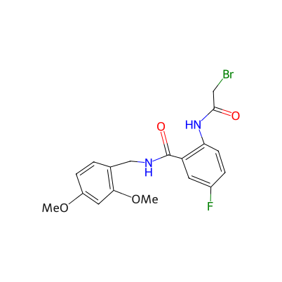 COc1ccc(CNC(=O)c2cc(F)ccc2NC(=O)CBr)c(OC)c1